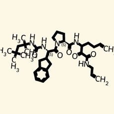 C=CCCC(NC(=O)[C@@H]1CCCN1C(=O)[C@@H](NC(=O)NC(C)(C)CC(C)(C)C)C1Cc2ccccc2C1)C(=O)C(=O)NCC=C